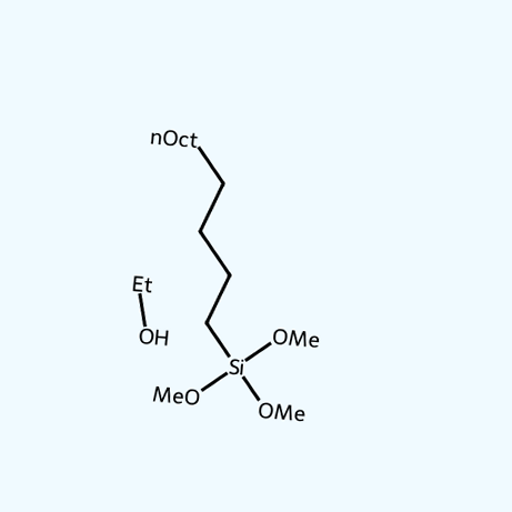 CCCCCCCCCCCC[Si](OC)(OC)OC.CCO